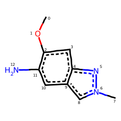 COc1cc2nn(C)cc2cc1N